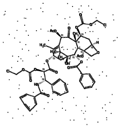 CC(=O)O[C@H]1C(=O)[C@@]2(C)C([C@H](OC(=O)c3ccccc3)[C@]3(O)C[C@H](OC(=O)[C@H](OC(=O)OCCl)[C@@H](NC(=O)c4ccccc4)c4ccccc4)C(C)=C1C3(C)C)[C@]1(OC(C)=O)CO[C@@H]1C[C@@H]2OC(=O)OCCl